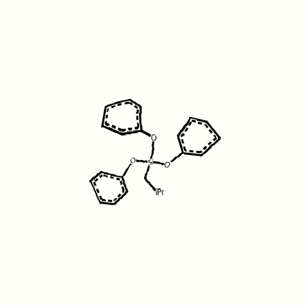 CC(C)C[Si](Oc1ccccc1)(Oc1ccccc1)Oc1ccccc1